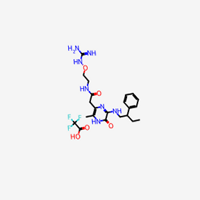 CCC(CNc1nc(CC(=O)NCCONC(=N)N)c(C)[nH]c1=O)c1ccccc1.O=C(O)C(F)(F)F